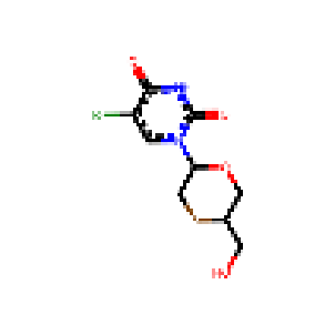 O=c1[nH]c(=O)n(C2CSC(CO)CO2)cc1Br